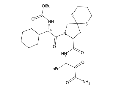 CCCC(NC(=O)C1CC2(CN1C(=O)[C@@H](NC(=O)OCC(C)C)C1CCCCC1)SCCCS2)C(=O)C(N)=O